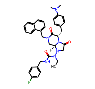 CN(C)c1ccc(C[C@H]2C(=O)N(Cc3cccc4ccccc34)C[C@H]3N2C(=O)CN3N(CC#N)C(=O)NCc2ccc(F)cc2)cc1